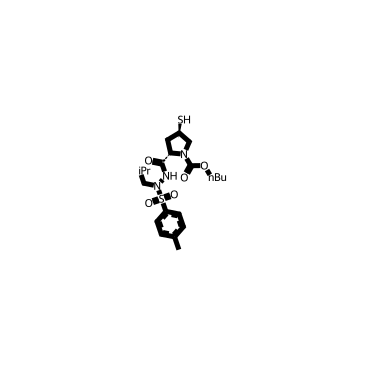 CCCCOC(=O)N1C[C@H](S)C[C@H]1C(=O)NN(CC(C)C)S(=O)(=O)c1ccc(C)cc1